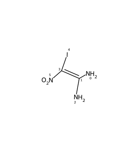 NC(N)=C(I)[N+](=O)[O-]